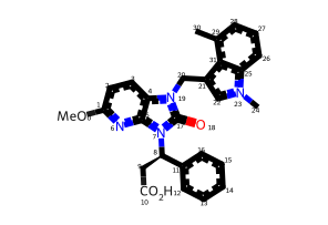 COc1ccc2c(n1)n([C@H](CC(=O)O)c1ccccc1)c(=O)n2Cc1cn(C)c2cccc(C)c12